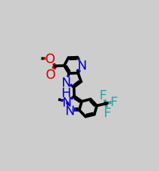 COC(=O)c1ccnc2cc(-c3c4cc(C(F)(F)F)ccc4nn3C)[nH]c12